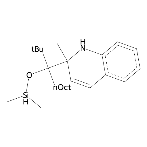 CCCCCCCCC(O[SiH](C)C)(C(C)(C)C)C1(C)C=Cc2ccccc2N1